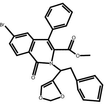 COC(=O)c1c(-c2ccccc2)c2cc(Br)ccc2c(=O)n1C(Cc1ccccc1)C1=COCO1